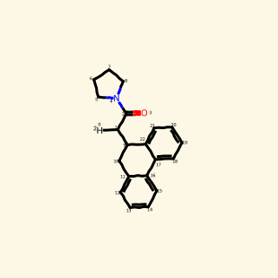 [2H]C(C(=O)N1CCCC1)C1Cc2ccccc2-c2ccccc21